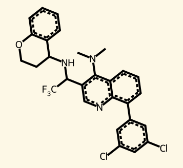 CN(C)c1c(C(NC2CCOc3ccccc32)C(F)(F)F)cnc2c(-c3cc(Cl)cc(Cl)c3)cccc12